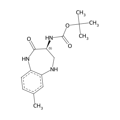 Cc1ccc2c(c1)NC[C@H](NC(=O)OC(C)(C)C)C(=O)N2